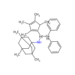 CC1=C(C)C(C)[C]([Hf]([NH]C23CC4(C)CC(C)(CC(C)(C4)C2)C3)[GeH]([c]2ccccc2)[c]2ccccc2)=C1C